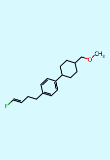 COCC1CCC(c2ccc(CCC=CF)cc2)CC1